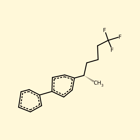 C[C@@H](CCCC(F)(F)F)c1ccc(-c2ccccc2)cc1